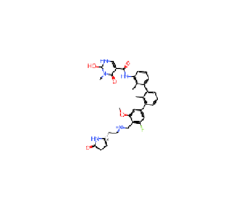 COc1cc(-c2cccc(-c3cccc(NC(=O)C4=CNC(O)N(C)C4=O)c3C)c2C)cc(F)c1CNCC[C@@H]1CCC(=O)N1